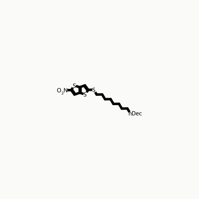 CCCCCCCCCCCCCCCCCCSc1cc2sc([N+](=O)[O-])cc2s1